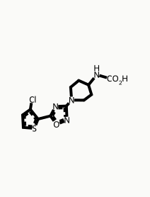 O=C(O)NC1CCN(c2noc(-c3sccc3Cl)n2)CC1